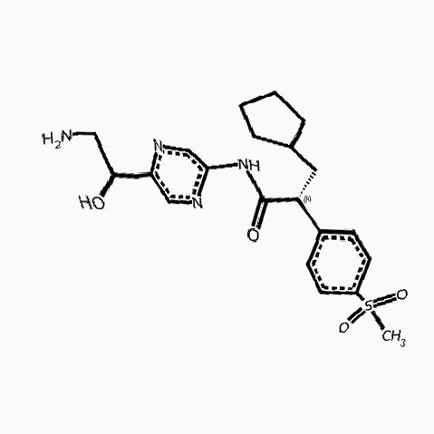 CS(=O)(=O)c1ccc([C@@H](CC2CCCC2)C(=O)Nc2cnc(C(O)CN)cn2)cc1